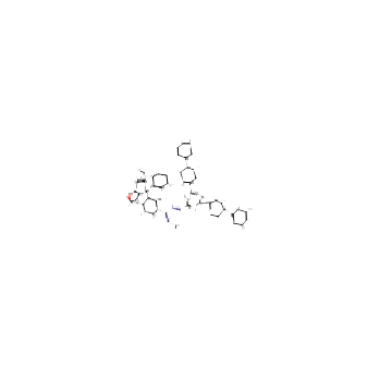 C=C/C=C(\C=C(/C)c1nc(-c2ccc(-c3ccccc3)cc2)nc(-c2ccc(-c3ccccc3)cc2)n1)c1cccc2c1Oc1ccccc1C21c2ccccc2-c2ccccc21